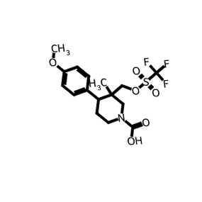 COc1ccc(C2CCN(C(=O)O)CC2(C)COS(=O)(=O)C(F)(F)F)cc1